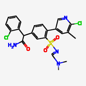 Cc1cc(-c2ccc(C(C(N)=O)c3ccccc3Cl)cc2S(=O)(=O)N=CN(C)C)cnc1Cl